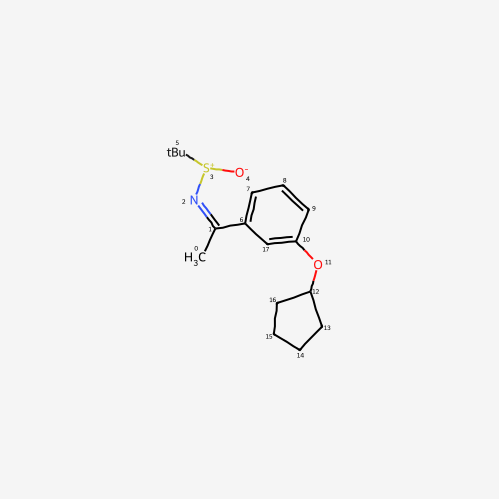 C/C(=N/[S+]([O-])C(C)(C)C)c1cccc(OC2CCCC2)c1